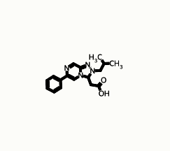 CC(C)CN1N=C2C=NC(c3ccccc3)=CN2C1CC(=O)O